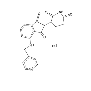 Cl.O=C1CCC(N2C(=O)c3cccc(NCc4ccncc4)c3C2=O)C(=O)N1